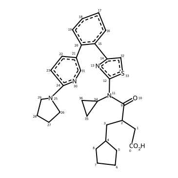 O=C(O)CC(CC1CCCC1)C(=O)N(c1nc(-c2ccccc2-c2ccc(N3CCCC3)nc2)cs1)C1CC1